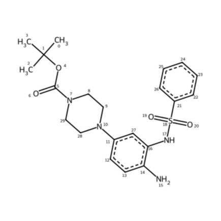 CC(C)(C)OC(=O)N1CCN(c2ccc(N)c(NS(=O)(=O)c3ccccc3)c2)CC1